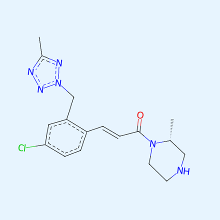 Cc1nnn(Cc2cc(Cl)ccc2/C=C/C(=O)N2CCNC[C@H]2C)n1